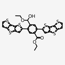 CCOC(=O)c1cc(-c2cc3sc4ccsc4c3s2)c(C(O)OCC)cc1-c1cc2sc3ccsc3c2s1